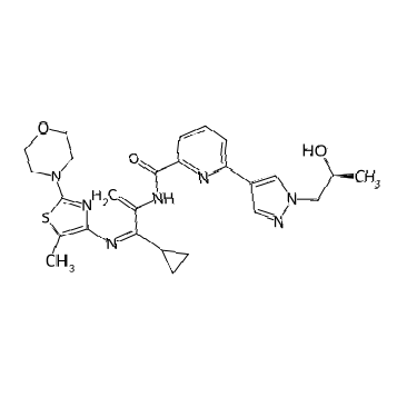 C=C(NC(=O)c1cccc(-c2cnn(C[C@H](C)O)c2)n1)/C(=N\c1nc(N2CCOCC2)sc1C)C1CC1